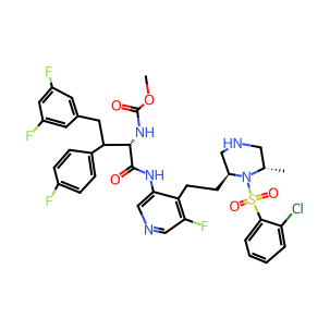 COC(=O)N[C@H](C(=O)Nc1cncc(F)c1CC[C@H]1CNC[C@H](C)N1S(=O)(=O)c1ccccc1Cl)C(Cc1cc(F)cc(F)c1)c1ccc(F)cc1